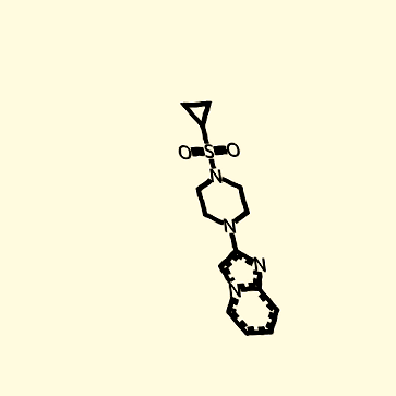 O=S(=O)(C1CC1)N1CCN(c2cn3ccccc3n2)CC1